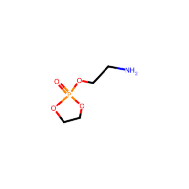 NCCOP1(=O)OCCO1